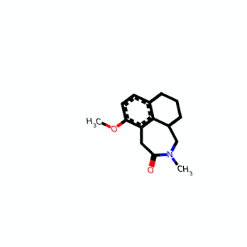 COc1ccc2c3c1CC(=O)N(C)CC3CCC2